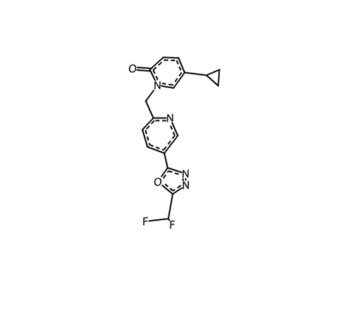 O=c1ccc(C2CC2)cn1Cc1ccc(-c2nnc(C(F)F)o2)cn1